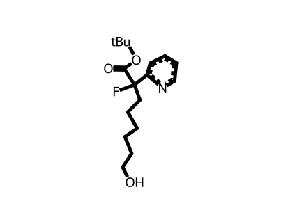 CC(C)(C)OC(=O)C(F)(CCCCCCO)c1ccccn1